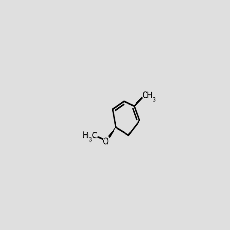 CO[C@H]1C=CC(C)=CC1